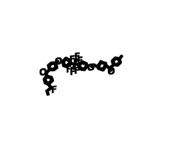 CCC(F)c1ccc(C(=O)c2ccc(Oc3ccc(C(c4ccc(OCc5ccc(C(=O)c6ccc(C)cc6)cc5)cc4)(C(F)(F)F)C(F)(F)F)cc3)cc2)cc1